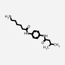 CC(C)CC(=O)Nc1ccc(NC(=O)CCCCCN)cc1